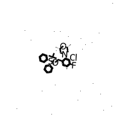 C[C@@H]1CN(c2c(CO[Si](c3ccccc3)(c3ccccc3)C(C)(C)C)c[c]c(F)c2Cl)C[C@H](C)O1